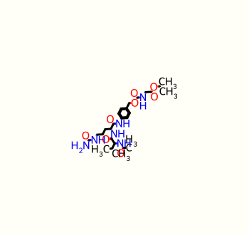 CC(=O)NC(C(=O)NC(CCCNC(N)=O)C(=O)Nc1ccc(COC(=O)NCC(=O)OC(C)C)cc1)C(C)C